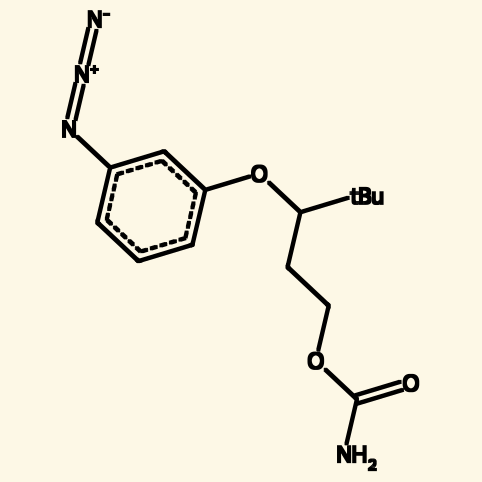 CC(C)(C)C(CCOC(N)=O)Oc1cccc(N=[N+]=[N-])c1